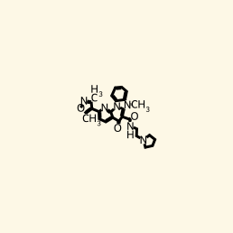 Cc1noc(C)c1-c1ccc2c(=O)c(C(=O)NCCN3CCCC3)c3n(C)c4ccccc4n3c2n1